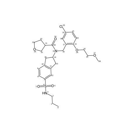 CCCNS(=O)(=O)c1ccc2c(c1)CC(N(Cc1cc(Cl)ccc1OCCOC)C(=O)C1CCOC1)C2